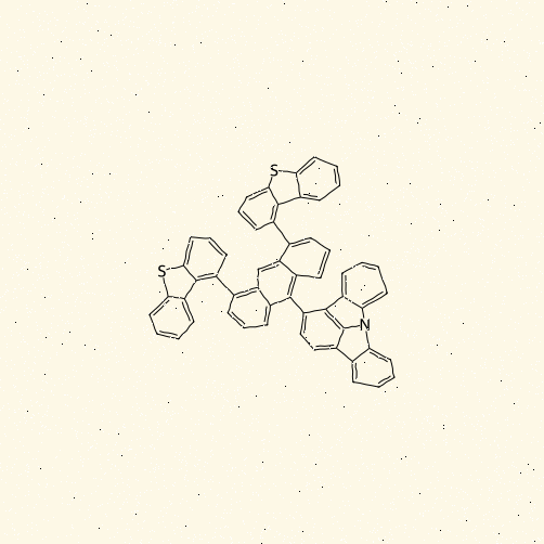 c1ccc2c(c1)sc1cccc(-c3cccc4c(-c5ccc6c7ccccc7n7c8ccccc8c5c67)c5cccc(-c6cccc7sc8ccccc8c67)c5cc34)c12